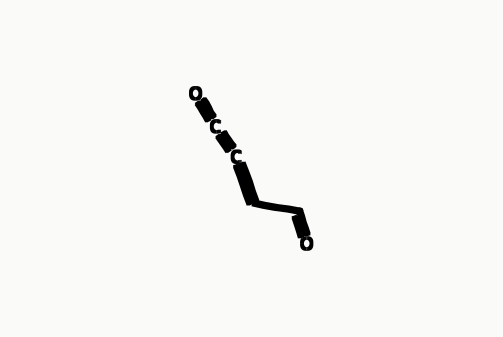 O=C=C=CC=O